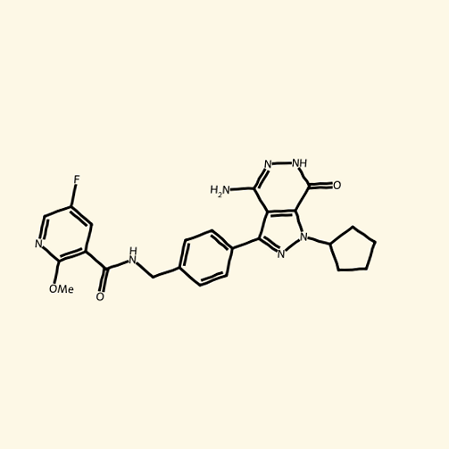 COc1ncc(F)cc1C(=O)NCc1ccc(-c2nn(C3CCCC3)c3c(=O)[nH]nc(N)c23)cc1